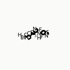 CCN1CCC(c2cc3c(Nc4c(F)cc5scnc5c4F)ccnc3s2)C1(C)C